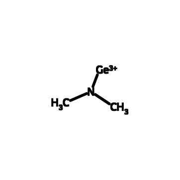 C[N](C)[Ge+3]